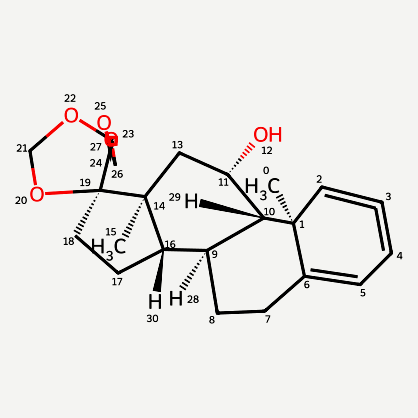 C[C@]12C=C=CC=C1CC[C@@H]1[C@@H]2[C@@H](O)C[C@@]2(C)[C@H]1CC[C@@]21OCOC12COCO2